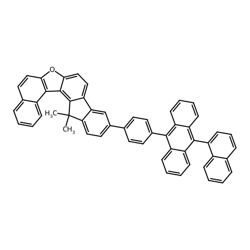 CC1(C)c2ccc(-c3ccc(-c4c5ccccc5c(-c5cccc6ccccc56)c5ccccc45)cc3)cc2-c2ccc3oc4ccc5ccccc5c4c3c21